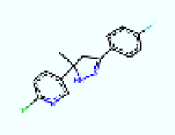 CC1(c2ccc(Cl)nc2)CC(c2ccc(F)cc2)=NN1